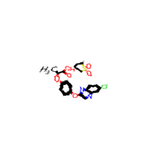 CC(Oc1ccc(Oc2cnc3cc(Cl)ccc3n2)cc1)C(=O)O.O=S1(=O)CCCC1